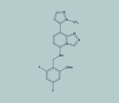 COc1cc(F)cc(F)c1CNc1ccc(-c2ccnn2C)c2nncn12